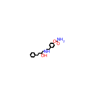 NC(=O)Oc1ccc(CCNC[C@H](O)[CH]Cc2ccccc2)cc1